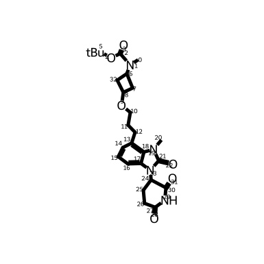 CN(C(=O)OC(C)(C)C)C1CC(OCCCc2cccc3c2n(C)c(=O)n3C2CCC(=O)NC2=O)C1